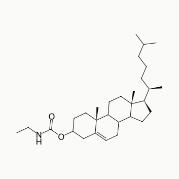 CCNC(=O)OC1CC[C@@]2(C)C(=CCC3C2CC[C@@]2(C)C3CC[C@@H]2[C@H](C)CCCC(C)C)C1